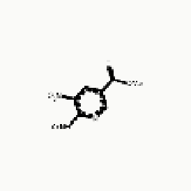 COC(=O)c1cnc(NC(C)=O)c([N+](=O)[O-])c1